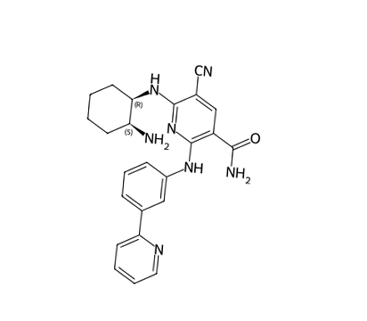 N#Cc1cc(C(N)=O)c(Nc2cccc(-c3ccccn3)c2)nc1N[C@@H]1CCCC[C@@H]1N